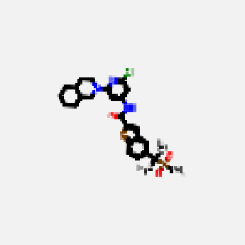 CC(C)(c1ccc2sc(C(=O)Nc3cc(Cl)nc(N4CCC5CCCCC5C4)c3)cc2c1)S(C)(=O)=O